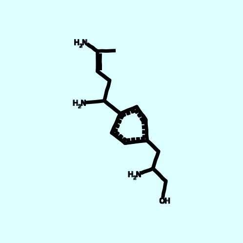 C/C(N)=C\CC(N)c1ccc(CC(N)CO)cc1